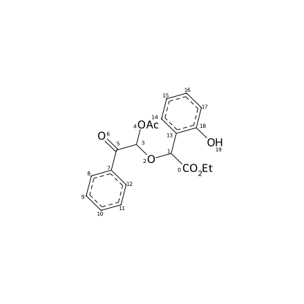 CCOC(=O)C(OC(OC(C)=O)C(=O)c1ccccc1)c1ccccc1O